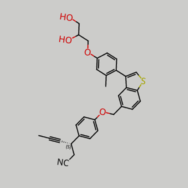 CC#C[C@@H](CC#N)c1ccc(OCc2ccc3scc(-c4ccc(OCC(O)CO)cc4C)c3c2)cc1